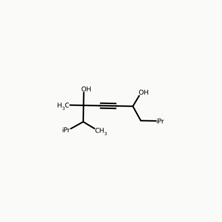 CC(C)CC(O)C#CC(C)(O)C(C)C(C)C